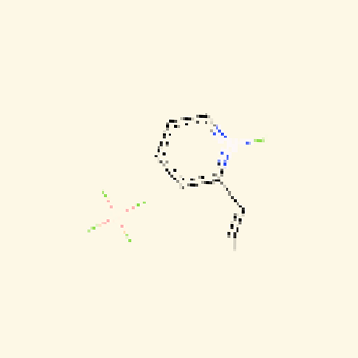 C=Cc1cccc[n+]1F.F[B-](F)(F)F